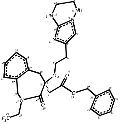 O=C(C[C@@]1(OCCc2cn3c(n2)NCCN3)Cc2ccccc2CN(CC(F)(F)F)C1=O)OCc1ccccc1